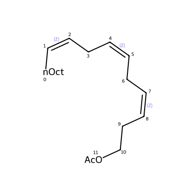 CCCCCCCC/C=C\C/C=C\C/C=C\CCOC(C)=O